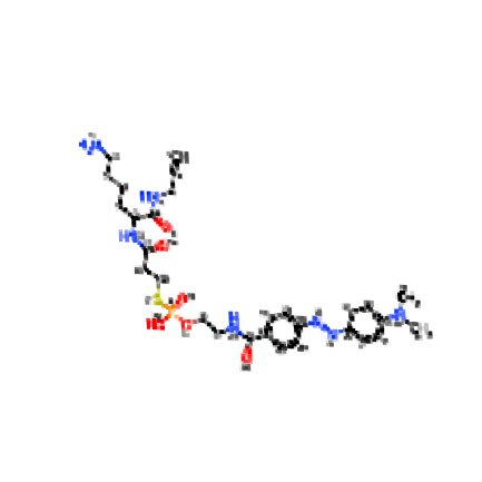 C#CCNC(=O)C(CCCCN)NC(=O)CCSP(=O)(O)OCCNC(=O)c1ccc(/N=N/c2ccc(N(C)C)cc2)cc1